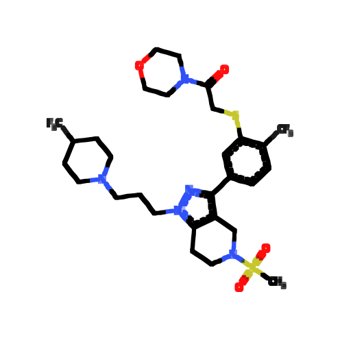 CS(=O)(=O)N1CCc2c(c(-c3ccc(C(F)(F)F)c(SCC(=O)N4CCOCC4)c3)nn2CCCN2CCC(C(F)(F)F)CC2)C1